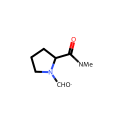 CNC(=O)C1CCCN1[C]=O